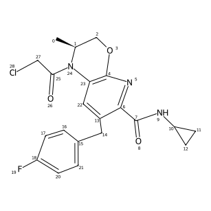 C[C@H]1COc2nc(C(=O)NC3CC3)c(Cc3ccc(F)cc3)cc2N1C(=O)CCl